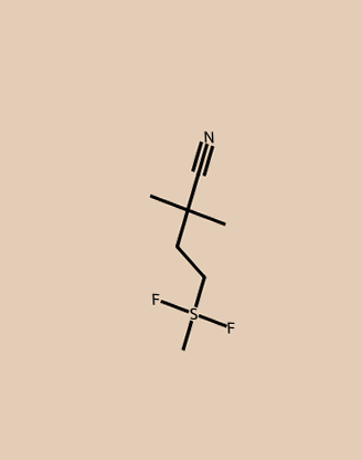 CC(C)(C#N)CCS(C)(F)F